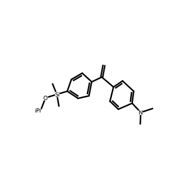 C=C(c1ccc(N(C)C)cc1)c1ccc([Si](C)(C)OC(C)C)cc1